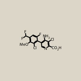 COc1c(C(F)F)cc(F)c(-c2cnc(C(=O)O)c(Cl)c2N)c1Cl